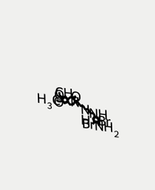 COc1cc2c(cc1OC)CC(=O)N(CCCNCCNc1cc(Br)c(N)c(Br)c1)CC2